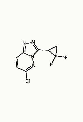 FC1(F)CC1c1nnc2ccc(Cl)nn12